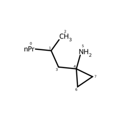 CCCC(C)CC1(N)CC1